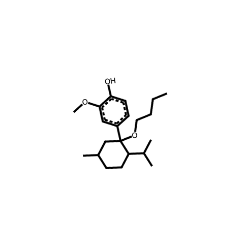 CCCCOC1(c2ccc(O)c(OC)c2)CC(C)CCC1C(C)C